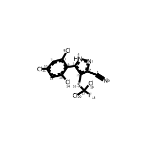 N#Cc1n[nH]c(-c2c(Cl)cc(Cl)cc2Cl)c1SC(F)(Cl)Cl